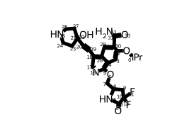 CC(C)Oc1cc2c(OCC3CC(F)(F)C(=O)N3)ncc(C#CC3(O)CCNCC3)c2cc1C(N)=O